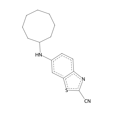 N#Cc1nc2ccc(NC3CCCCCCC3)cc2s1